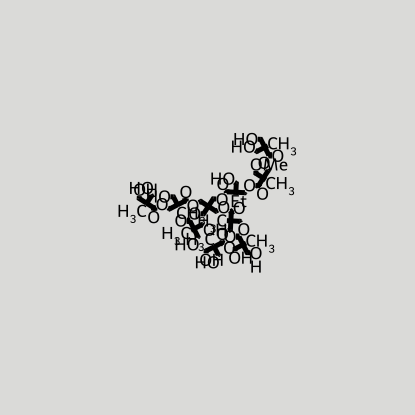 CCC(CO)(COC(=O)C(C)(COC)COC(=O)C(C)(CO)CO)C(=O)OCC(COC(=O)C(C)(CO)CO)(COC(=O)C(C)(CO)COC(=O)C(C)(CO)CO)COC(=O)C(C)(COC(=O)C(C)(CO)CO)COC(=O)C(C)(CO)CO